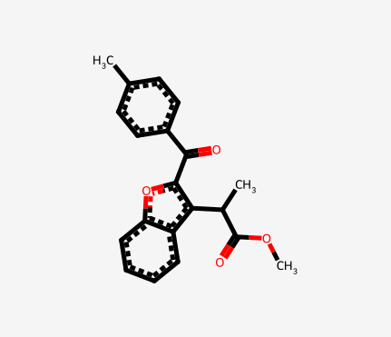 COC(=O)C(C)c1c(C(=O)c2ccc(C)cc2)oc2ccccc12